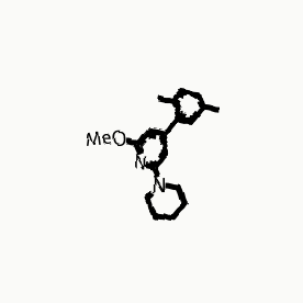 COc1cc(-c2cc(C)ccc2C)cc(N2CCCCC2)n1